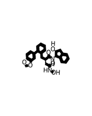 O=C(C[C@@H](Cc1ccccc1-c1ccc2c(c1)OCO2)C(=O)N[C@H]1c2ccccc2C[C@H]1O)NO